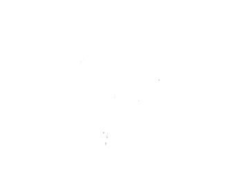 Cc1ccccc1C=[N]